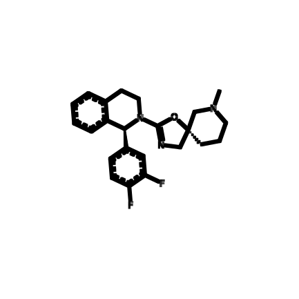 CN1CCC[C@@]2(CN=C(N3CCc4ccccc4[C@@H]3c3ccc(F)c(F)c3)O2)C1